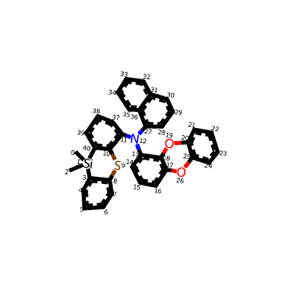 C[Si]1(C)c2ccccc2Sc2c(N(c3cccc4c3Oc3ccccc3O4)c3cccc4ccccc34)cccc21